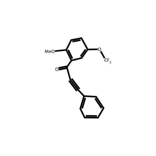 COc1ccc(OC(F)(F)F)cc1C(=O)C#Cc1ccccc1